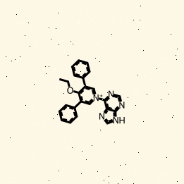 CCOc1c(-c2ccccc2)c[n+](-c2ncnc3[nH]cnc23)cc1-c1ccccc1